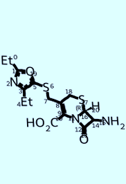 CCc1nc(CC)c(SCC2=C(C(=O)O)N3C(=O)C(N)[C@H]3SC2)o1